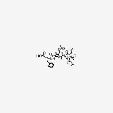 CC[C@H](C)[C@H](NC(C)=O)C(=O)N(COC(=O)CC(C)C)[C@H](C[C@@H](OC(C)=O)c1nc(C(=O)N[C@@H](Cc2ccccc2)C[C@H](C)C(=O)O)cs1)C(C)C